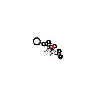 CN(C(=O)OCC1c2ccccc2-c2ccccc21)[C@@H](CC(=O)OC(c1ccccc1)(c1ccc(C2CCCCCCCCCC2)cc1)c1ccccc1Cl)C(=O)N1CCCCC1